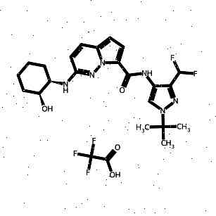 CC(C)(C)n1cc(NC(=O)c2ccc3ccc(N[C@@H]4CCCC[C@@H]4O)nn23)c(C(F)F)n1.O=C(O)C(F)(F)F